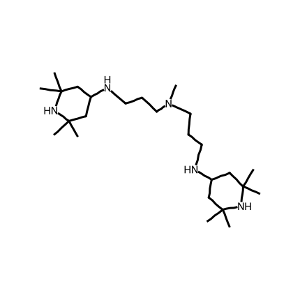 CN(CCCNC1CC(C)(C)NC(C)(C)C1)CCCNC1CC(C)(C)NC(C)(C)C1